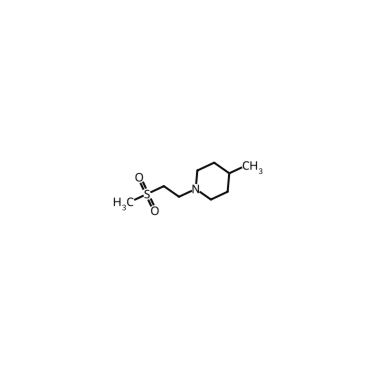 CC1CCN(CCS(C)(=O)=O)CC1